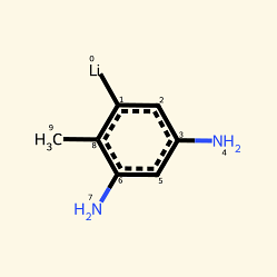 [Li][c]1cc(N)cc(N)c1C